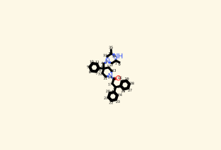 CC1CN(CC2(c3ccccc3)CCN(C(=O)CC(c3ccccc3)c3ccccc3)CC2)CC(C)N1